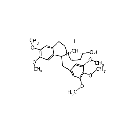 COc1cc2c(cc1OC)C(Cc1cc(OC)c(OC)c(OC)c1)[N+](C)(CCCO)CC2.[I-]